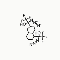 [N-]=[N+]=NC(O)(C1CCC2C(CCCC2C(O)(N=[N+]=[N-])C(F)(F)F)C1)C(F)(F)F